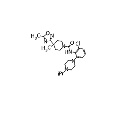 Cc1nc(C2(C)CCN(C(=O)Nc3c(Cl)cccc3N3CCN(C(C)C)CC3)CC2)no1